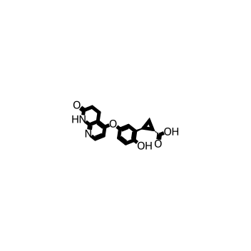 O=C1CCc2c(Oc3ccc(O)c([C@H]4C[C@@H]4C(=O)O)c3)ccnc2N1